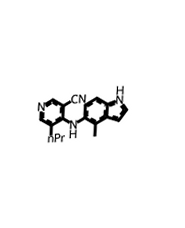 CCCc1cncc(C#N)c1Nc1ccc2[nH]ccc2c1C